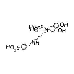 CCCN(CCCCCCNCCc1ccc(S(=O)(=O)O)cc1)C1CCc2c(ccc(O)c2O)C1.Cl.Cl